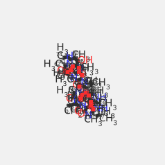 C=CC(C)(C)[C@@H](C(=O)N[C@H](C(=O)N(C)[C@@H](CC(C)C)C(=O)N[C@@H](C)C(=O)N[C@H](C)C(=O)N(C)[C@@H](CC(C)C)C(=O)N(C)[C@@H](CC(C)C)C(=O)N(C)[C@H](C(=O)N(C)[C@H](C(=O)N[C@@H](CC)C(=O)OC)[C@H](O)[C@H](C)CCCC)C(C)C)C(C)C)N(C)C(=O)[C@@H](C)N(C)C(=O)OC(C)(C)C